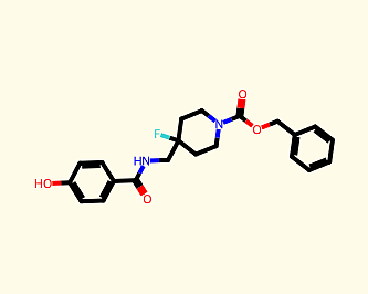 O=C(NCC1(F)CCN(C(=O)OCc2ccccc2)CC1)c1ccc(O)cc1